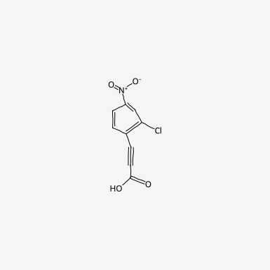 O=C(O)C#Cc1ccc([N+](=O)[O-])cc1Cl